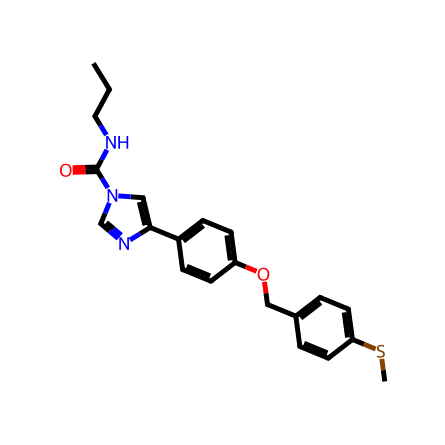 CCCNC(=O)n1cnc(-c2ccc(OCc3ccc(SC)cc3)cc2)c1